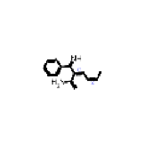 C=C(N)/C(=C\C=C/C)C(=N)c1ccccc1